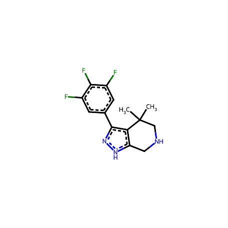 CC1(C)CNCc2[nH]nc(-c3cc(F)c(F)c(F)c3)c21